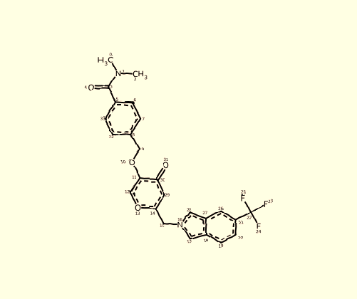 CN(C)C(=O)c1ccc(COc2coc(Cn3cc4ccc(C(F)(F)F)cc4c3)cc2=O)cc1